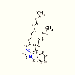 CCCCCCCCCCC[n+]1ccn(Cc2ccccc2)c1CCCCCCCC